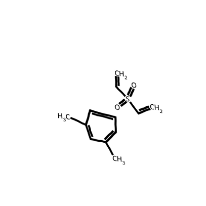 C=CS(=O)(=O)C=C.Cc1cccc(C)c1